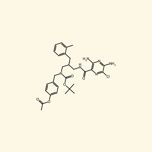 CC(=O)Oc1ccc(CN(CC(CNC(=O)c2nc(Cl)c(N)nc2N)Cc2ccccc2C)C(=O)OC(C)(C)C)cc1